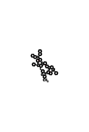 Cc1ccc2c(c1)Oc1cc(Cc3cc4c5ccccc5n(-c5ccc(N(c6ccc7ccccc7c6)c6ccc7ccccc7c6)cc5)c4c4c3cc(-c3ccccc3)n4-c3ccccc3)ccc1N2c1cccc(-n2c3ccccc3c3ccc4cc(-c5ccccc5)n(-c5ccccc5)c4c32)c1